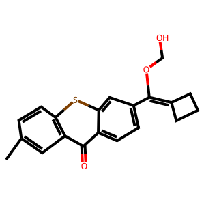 Cc1ccc2sc3cc(C(OCO)=C4CCC4)ccc3c(=O)c2c1